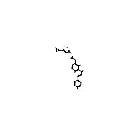 COc1ccc(-c2cc(=O)c3c(Br)c(CC(=O)Nc4cc(C5CC5)[nH]n4)ccc3o2)cc1